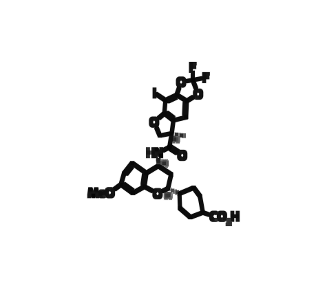 COc1ccc2c(c1)O[C@@H](C1CCC(C(=O)O)CC1)C[C@H]2NC(=O)[C@@]1(C)COc2c1cc1c(c2I)OC(F)(F)O1